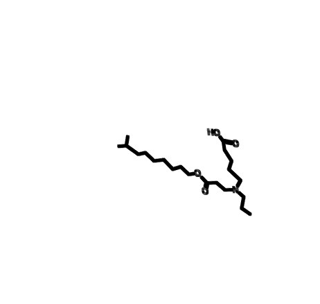 CCCN(CCCCC(=O)O)CCC(=O)OCCCCCCCC(C)C